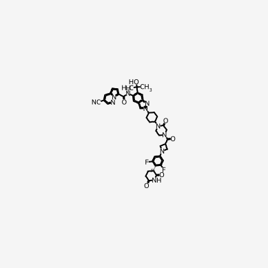 CC(C)(O)c1cc2nn(C3CCC(N4CCN(C(=O)C5CN(c6cc(F)c([C@H]7CCC(=O)NC7=O)c(F)c6)C5)CC4=O)CC3)cc2cc1NC(=O)c1ccc2cc(C#N)cnn12